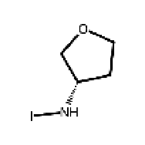 IN[C@H]1CCOC1